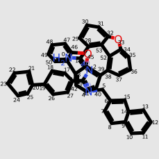 N/C(=N\C(=N/Cc1ccc2ccccc2c1)c1ccc(-c2ccccc2)cc1)c1cccc2oc3cccc(-c4cccc5c4oc4ccccc45)c3c12